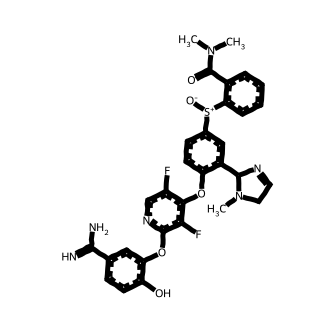 CN(C)C(=O)c1ccccc1[S+]([O-])c1ccc(Oc2c(F)cnc(Oc3cc(C(=N)N)ccc3O)c2F)c(C2N=CCN2C)c1